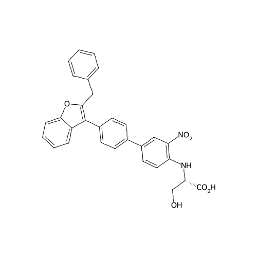 O=C(O)[C@H](CO)Nc1ccc(-c2ccc(-c3c(Cc4ccccc4)oc4ccccc34)cc2)cc1[N+](=O)[O-]